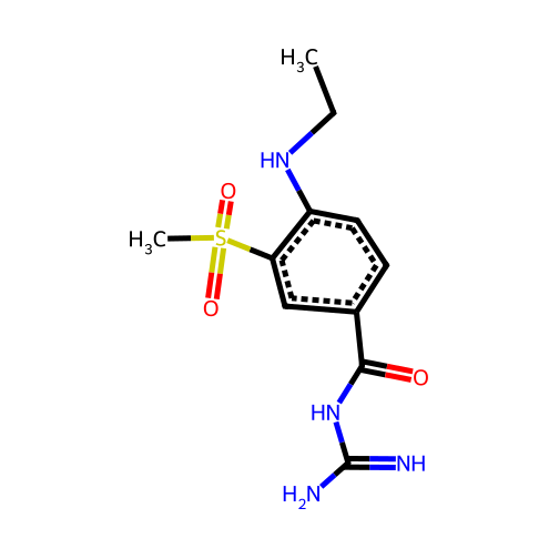 CCNc1ccc(C(=O)NC(=N)N)cc1S(C)(=O)=O